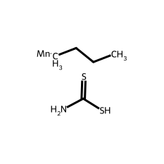 CCCC.NC(=S)S.[Mn]